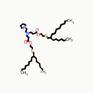 CCCCCCCCC(CCCCCC)CSCCOC(=O)CCN(CCC(=O)OCCSCC(CCCCCC)CCCCCCCC)CCN1CCCC1